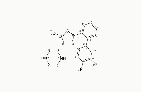 C1CNCCN1.Fc1ccc(-c2ccccc2-n2ccc(C(F)(F)F)c2)cc1F